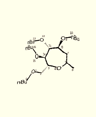 CCCCOC[C@H]1OC(C)C[C@H](OCCCC)[C@@H](OCCCC)[C@@H]1OCCCC